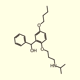 CCCCOc1ccc(OCCCNC(C)C)c(C(O)c2ccccc2)c1